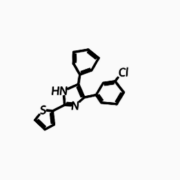 Clc1cccc(-c2nc(-c3cccs3)[nH]c2-c2ccccc2)c1